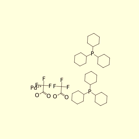 C1CCC(P(C2CCCCC2)C2CCCCC2)CC1.C1CCC(P(C2CCCCC2)C2CCCCC2)CC1.O=C([O-])C(F)(F)F.O=C([O-])C(F)(F)F.[Pd+2]